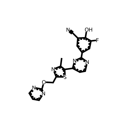 Cc1nc(COc2ncccn2)sc1-c1ccnc(-c2cc(F)c(O)c(C#N)c2)n1